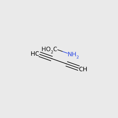 C#CC#C.NC(=O)O